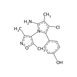 Cc1noc(C)c1-n1c(N)c(C)c(Cl)c1-c1ccc(O)cc1